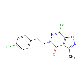 Cc1noc2c(Br)nn(CCc3ccc(Cl)cc3)c(=O)c12